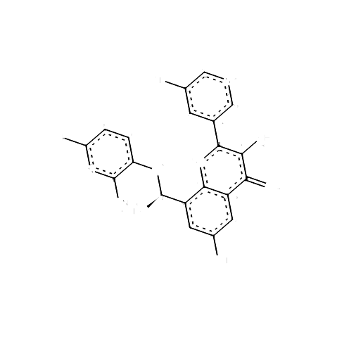 Cc1cc([C@@H](C)Oc2ccc(Cl)nc2C#N)c2oc(-c3cncc(F)c3)c(C)c(=O)c2c1